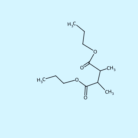 CCCOC(=O)C(C)C(C)C(=O)OCCC